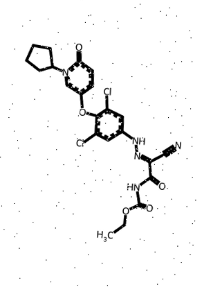 CCOC(=O)NC(=O)/C(C#N)=N/Nc1cc(Cl)c(Oc2ccc(=O)n(C3CCCC3)c2)c(Cl)c1